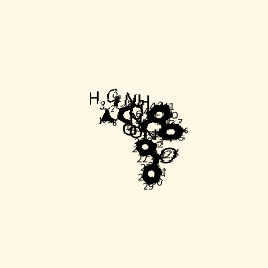 CCC[C@H](C(N)=O)[C@@H](CC1CC1)C(=O)NC1C(=O)N(c2cccc(C(=O)c3ccccc3)c2)c2ccccc2-c2ccccc21